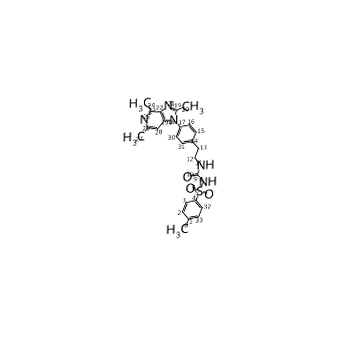 Cc1ccc(S(=O)(=O)NC(=O)NCCc2ccc(-n3c(C)nc4c(C)nc(C)cc43)cc2)cc1